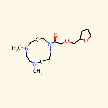 CN1CCCN(C(=O)COCC2CCCO2)CCCN(C)CC1